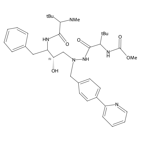 CNC(C(=O)NC(Cc1ccccc1)[C@@H](O)CN(Cc1ccc(-c2ccccn2)cc1)NC(=O)C(NC(=O)OC)C(C)(C)C)C(C)(C)C